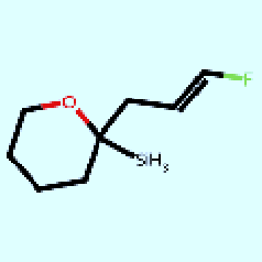 FC=CCC1([SiH3])CCCCO1